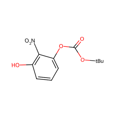 CC(C)(C)OC(=O)Oc1cccc(O)c1[N+](=O)[O-]